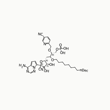 CCCCCCCCCCCCCCCCCCOC(C[C@H]1O[C@@](C#N)(c2ccc3c(N)ncnn23)[C@H](O)[C@@H]1O)[C@@H](COP(=O)(O)O)OCc1ccc(C#N)cn1